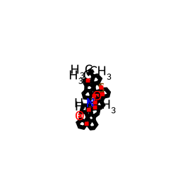 CC(C)(C)c1ccc2c(c1)C1(c3cc(C(C)(C)C)ccc3S2)c2ccccc2-c2ccc(N(c3ccc4c(c3)C3(c5ccccc5O4)c4ccccc4-c4ccccc43)c3cccc4c3oc3ccccc34)cc21